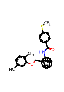 N#Cc1ccc(C(F)(F)F)c(OC[C]23[CH]4[CH]5[CH]6[C]2(NC(=O)c2ccc(SC(F)(F)F)cc2)[Fe]54632789[CH]3[CH]2[CH]7[CH]8[CH]39)c1